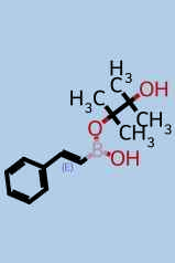 CC(C)(O)C(C)(C)OB(O)/C=C/c1ccccc1